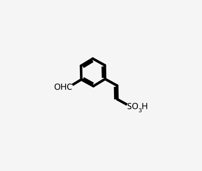 O=Cc1cccc(C=CS(=O)(=O)O)c1